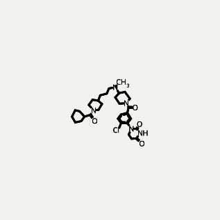 CN(CCCC1CCN(C(=O)C2CCCCC2)CC1)C1CCN(C(=O)c2ccc(Cl)c(N3CCC(=O)NC3=O)c2)CC1